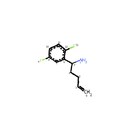 C=CCCC(N)c1cc(F)ccc1F